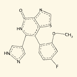 COc1cc(F)ccc1-c1c(-c2cn[nH]c2)[nH]c(=O)c2ncsc12